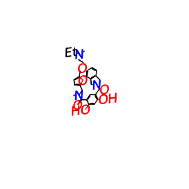 CCN(C)CCOc1ccc2c(c1)CN(C(=O)c1cc(C(=O)N(C)Cc3ccc(C)o3)c(O)cc1O)C2